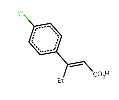 CCC(=CC(=O)O)c1ccc(Cl)cc1